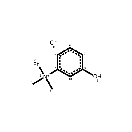 CC[N+](C)(C)c1cccc(O)c1.[Cl-]